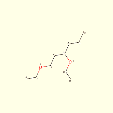 [CH2]CCC(CCOCC)OCC